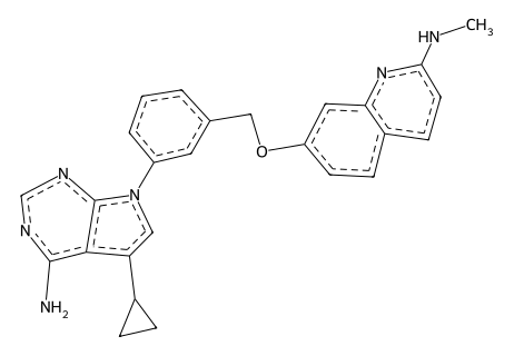 CNc1ccc2ccc(OCc3cccc(-n4cc(C5CC5)c5c(N)ncnc54)c3)cc2n1